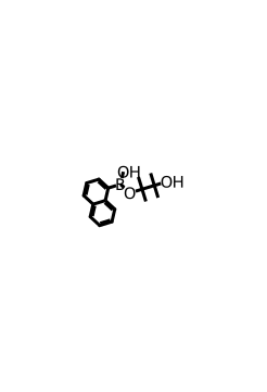 CC(C)(O)C(C)(C)OB(O)c1cccc2ccccc12